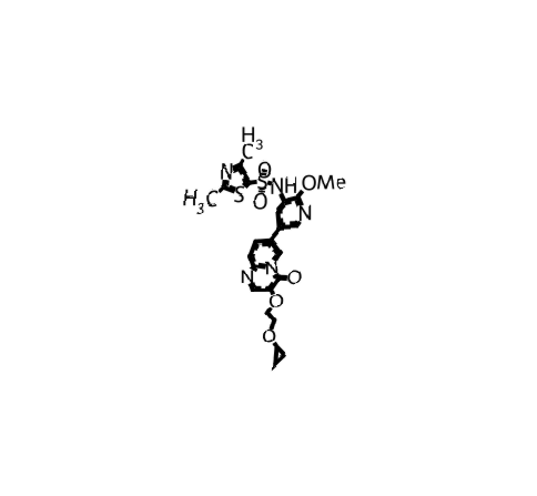 COc1ncc(-c2ccc3ncc(OCCOC4CC4)c(=O)n3c2)cc1NS(=O)(=O)c1sc(C)nc1C